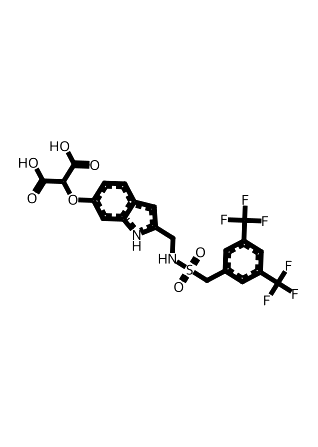 O=C(O)C(Oc1ccc2cc(CNS(=O)(=O)Cc3cc(C(F)(F)F)cc(C(F)(F)F)c3)[nH]c2c1)C(=O)O